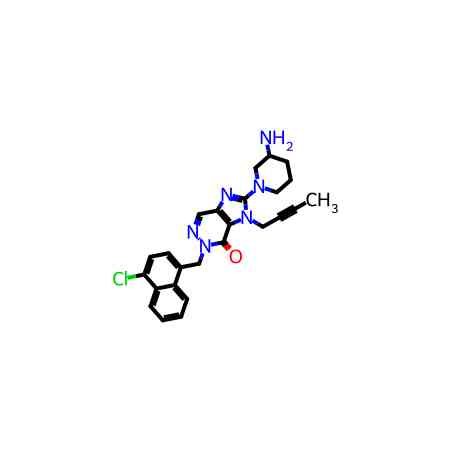 CC#CCn1c(N2CCCC(N)C2)nc2cnn(Cc3ccc(Cl)c4ccccc34)c(=O)c21